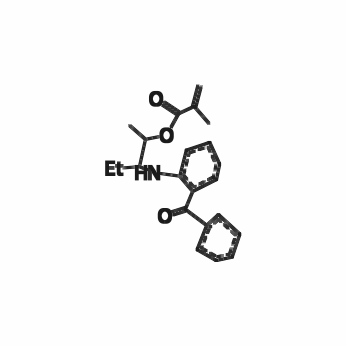 C=C(C)C(=O)OC(C)C(CC)Nc1ccccc1C(=O)c1ccccc1